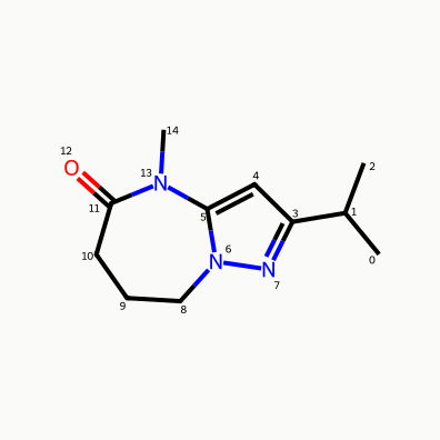 CC(C)c1cc2n(n1)CCCC(=O)N2C